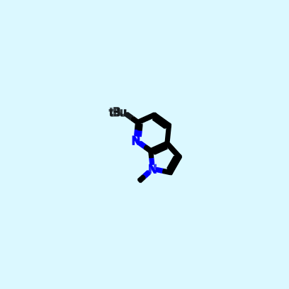 Cn1ccc2ccc(C(C)(C)C)nc21